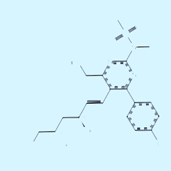 CC(C)Cc1nc(N(C)S(C)(=O)=O)nc(-c2ccc(F)cc2)c1/C=C/[C@@H](O)C[C@H](O)CC(=O)O